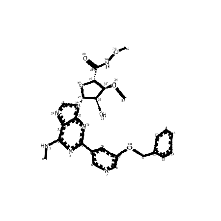 CNc1nc(-c2cncc(OCc3ccccc3)c2)nc2c1ncn2[C@@H]1O[C@H](C(=O)NOC)[C@@H](OC)[C@H]1O